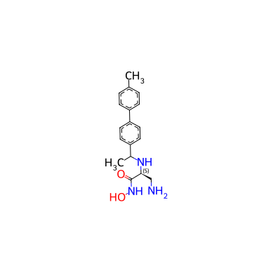 Cc1ccc(-c2ccc(C(C)N[C@@H](CN)C(=O)NO)cc2)cc1